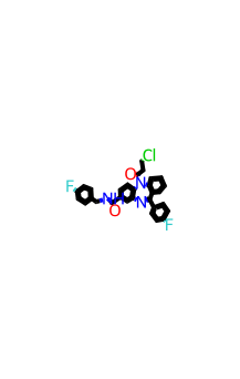 O=C(NCc1ccc(F)cc1)c1ccc2c(c1)N=C(c1ccc(F)cc1)c1ccccc1N2C(=O)CCCl